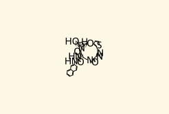 CN1CC[C@H](NC(=O)Nc2ccc3ccccc3c2)C(=O)N2C[C@@H](O)C[C@H]2COc2ccsc2-c2cc(n(C)n2)C1=O